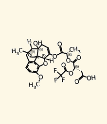 COc1ccc2c3c1O[C@H]1C(OC(=O)[C@H](C)OC(=O)[C@H](CC(=O)O)OC(=O)C(F)(F)F)=CC[C@@]4(O)[C@@H](C2)N(C)CC[C@]314